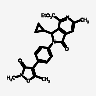 CCOC(=O)c1nc(C)cc2c1C(C1CC1)N(c1ccc(-c3c(C)on(C)c3=O)cc1)C2=O